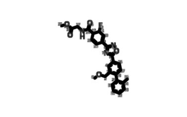 COCc1cc(-c2nc(C3=CC(F)C(C(=O)NCC(=O)OC)C=C3)no2)ccc1-c1ccccc1C